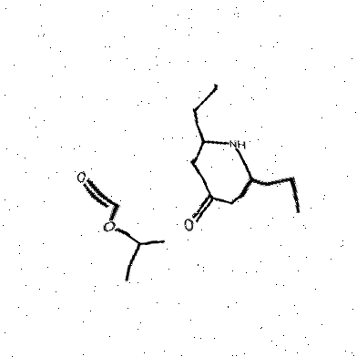 CC(C)OC=O.CCC1CC(=O)CC(CC)N1